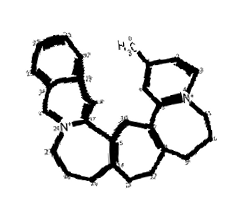 Cc1cc[n+]2c(c1)C1=C(CCC2)CCC2=C(C1)c1cc3ccccc3c[n+]1CCC2